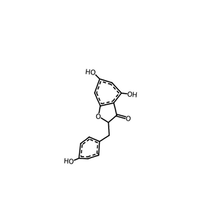 O=C1c2c(O)cc(O)cc2OC1Cc1ccc(O)cc1